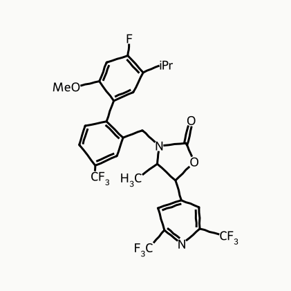 COc1cc(F)c(C(C)C)cc1-c1ccc(C(F)(F)F)cc1CN1C(=O)OC(c2cc(C(F)(F)F)nc(C(F)(F)F)c2)C1C